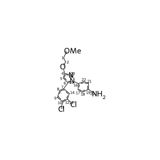 COCCOc1cc(-c2ccc(Cl)c(Cl)c2)n(-c2ccc(N)cc2)n1